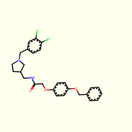 O=C(COc1ccc(OCc2ccccc2)cc1)NCC1CCN(Cc2ccc(Cl)c(Cl)c2)C1